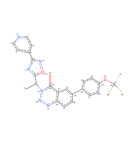 CC(c1nc(-c2ccncc2)no1)n1nnc2ccc(-c3ccc(OC(F)(F)F)cc3)cc2c1=O